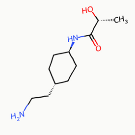 C[C@@H](O)C(=O)N[C@H]1CC[C@H](CCN)CC1